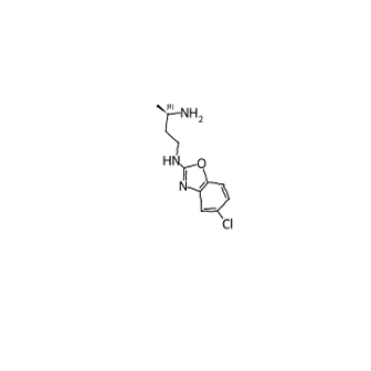 C[C@@H](N)CCNc1nc2cc(Cl)ccc2o1